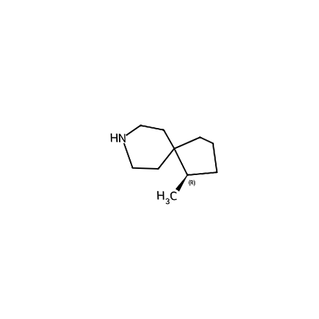 C[C@@H]1CCCC12CCNCC2